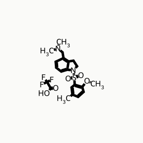 COc1ccc(C)cc1S(=O)(=O)N1CCc2c(CN(C)C)cccc21.O=C(O)C(F)(F)F